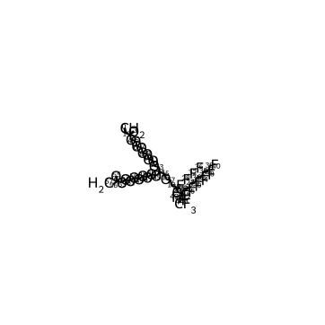 C=CC(=O)OOOOOOOOOCC(COCCCOC(F)(/C(F)=C(F)/C(F)=C(F)/C(F)=C(F)/C(F)=C(\F)CF)C(F)(F)C(F)(F)F)OOOOOOOOOC(=O)C=C